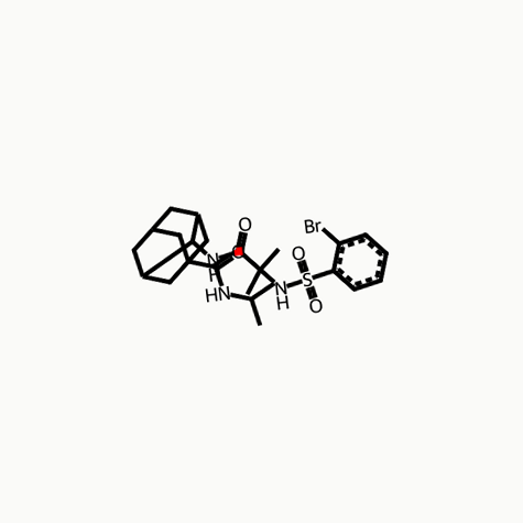 CC(C)NC(=O)C12CC3CC(C1)C(NC(=O)C(C)(C)NS(=O)(=O)c1ccccc1Br)C(C3)C2